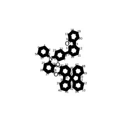 c1ccc(N(c2ccc(-c3cccc4c3oc3ccccc34)cc2)c2cccc3c2Oc2ccc4c(c2O3)-c2ccccc2C42c3ccccc3-c3ccccc32)cc1